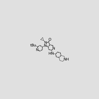 CC(C)(C)c1cc(-n2c3cc(Nc4ccc5c(c4)CCNC5)ncc3c(=O)n2C2CC2)ccn1